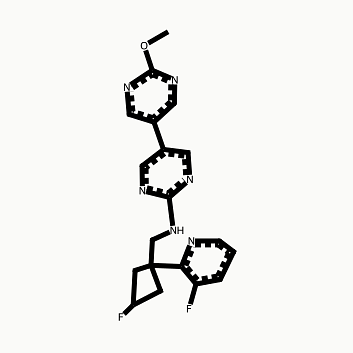 COc1ncc(-c2cnc(NCC3(c4ncccc4F)CC(F)C3)nc2)cn1